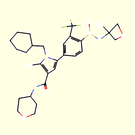 Cc1c(C(=O)NC2CCOCC2)cc(-c2ccc([S+]([O-])NC3(C)COC3)c(C(F)(F)F)c2)n1CC1CCCCC1